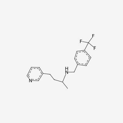 CC(CCc1cccnc1)NCc1ccc(C(F)(F)F)cc1